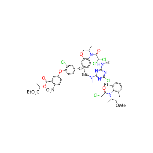 CC1COc2ccccc2N1C(=O)C(Cl)Cl.CCNc1nc(Cl)nc(NC(C)(C)C)n1.CCOC(=O)C(C)OC(=O)c1cc(Oc2ccc(C(F)(F)F)cc2Cl)ccc1[N+](=O)[O-].CCc1cccc(C)c1N(C(=O)CCl)C(C)COC